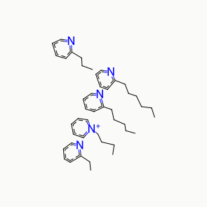 CCCCCCc1ccccn1.CCCCCc1ccccn1.CCCC[n+]1ccccc1.CCCc1ccccn1.CCc1ccccn1